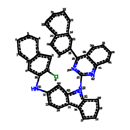 Clc1cc2ccccc2cc1Nc1ccc2c3ccccc3n(-c3nc(-c4ccc5ccccc5c4)c4ccccc4n3)c2c1